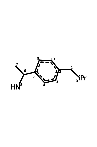 CC(C)Cc1ccc(C(C)[NH])cc1